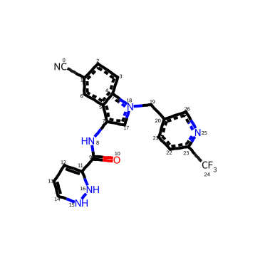 N#Cc1ccc2c(c1)c(NC(=O)C1=CC=CNN1)cn2Cc1ccc(C(F)(F)F)nc1